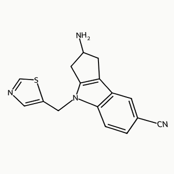 N#Cc1ccc2c(c1)c1c(n2Cc2cncs2)CC(N)C1